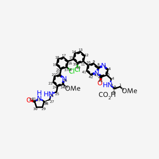 COC[C@@H](NCc1cnc2cc(-c3cccc(-c4cccc(-c5ccc(CNC[C@H]6CCC(=O)N6)c(OC)n5)c4Cl)c3Cl)ccn2c1=O)C(=O)O